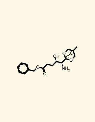 CC12COC([C@@H](N)[C@H](O)CCC(=O)OCc3ccccc3)(OC1)OC2